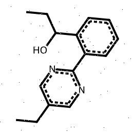 CCc1cnc(-c2ccccc2C(O)CC)nc1